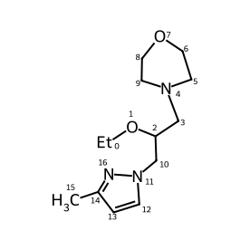 CCOC(CN1CCOCC1)Cn1ccc(C)n1